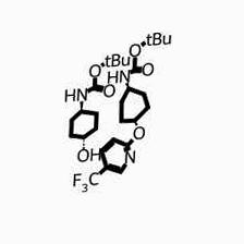 CC(C)(C)OC(=O)N[C@H]1CC[C@H](O)CC1.CC(C)(C)OC(=O)N[C@H]1CC[C@H](Oc2ccc(C(F)(F)F)cn2)CC1